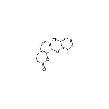 O=C1CCc2cccc(Oc3ccccc3Cl)c2O1